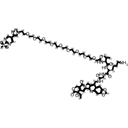 CC[C@@]1(O)C(=O)OCc2c1cc1n(c2=O)Cc2c-1nc1cc3c(cc1c2CNC(=O)CNC(=O)[C@H](CCCCN)NC(=O)[C@@H](NC(=O)COCCOCCOCCOCCOCCOCCOCCOCCOCCn1cc(-c2cnc(S(C)(=O)=O)nc2)nn1)C(C)C)OCO3